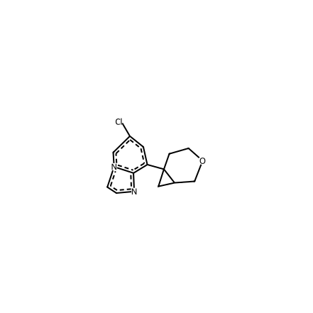 Clc1cc(C23CCOCC2C3)c2nccn2c1